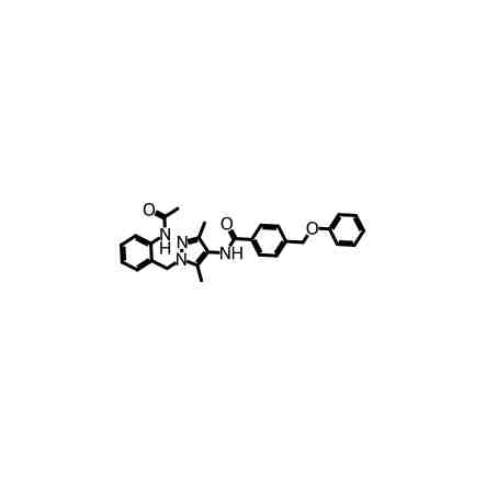 CC(=O)Nc1ccccc1Cn1nc(C)c(NC(=O)c2ccc(COc3ccccc3)cc2)c1C